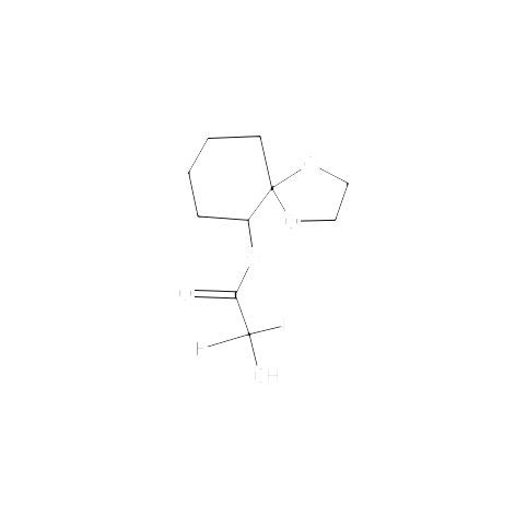 CC(F)(F)C(=O)OC1CCCCC12OCCO2